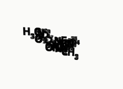 CN(c1cnc(-c2cc3ccn(C)c(=O)c3cc2O)nn1)[C@H]1CC2CCC(N2)[C@H]1F